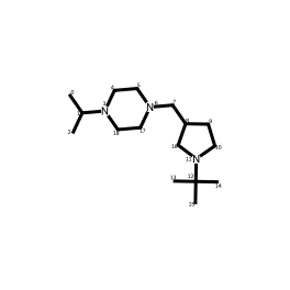 CC(C)N1CCN(CC2CCN(C(C)(C)C)C2)CC1